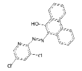 Oc1c(N=Nc2ncc(Cl)cc2Cl)c2ccccc2c2ccccc12